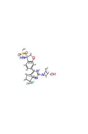 C[C@H]1[C@H](O)CN1c1nc(-c2ccc3c(c2)OCC3NS(C)(=O)=O)c2c(n1)C(F)(F)CC2